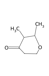 CC1OCCC(=O)C1C